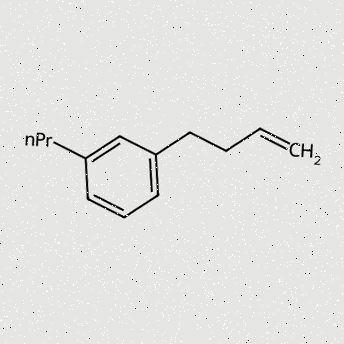 C=CCCc1cccc(CCC)c1